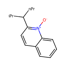 CCCC([C](C)C)c1ccc2ccccc2[n+]1[O-]